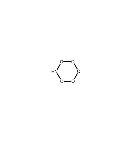 N1OOOOO1